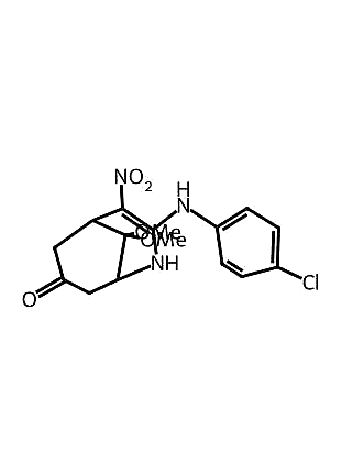 COC1(OC)C2CC(=O)CC1C([N+](=O)[O-])=C(Nc1ccc(Cl)cc1)N2